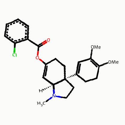 COC1=C(OC)CCC([C@@]23CCC(OC(=O)c4ccccc4Cl)=C[C@@H]2N(C)CC3)=C1